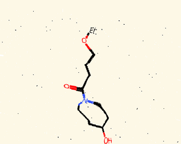 CCOCCCC(=O)N1CCC(O)CC1